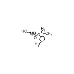 CC(C)[C@@H]1CC[C@@H](C)C[C@H]1OC(=O)O.OCCO